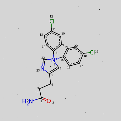 NC(=O)CCC1=C[N+](c2ccc(Cl)cc2)(c2ccc(Cl)cc2)C=N1